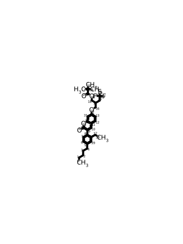 CCCCCc1ccc(-c2cc3ccc(OCC(COC(=O)C(C)(C)C)CC(F)(F)F)cc3oc2=O)c(CC)c1